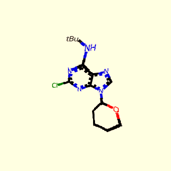 CC(C)(C)Nc1nc(Cl)nc2c1ncn2C1CCCCO1